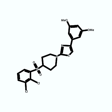 COc1cc(OC)cc(-c2csc(N3CCC(S(=O)(=O)c4cccc(Cl)c4Cl)CC3)n2)c1